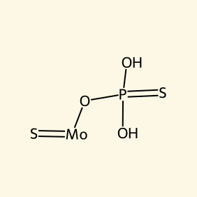 OP(O)(=S)[O][Mo]=[S]